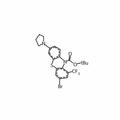 CC(C)(C)OC(=O)N1c2ccc(N3CCCC3)cc2Sc2cc(Br)cc(C(F)(F)F)c21